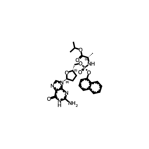 CC(C)OC(=O)[C@H](C)NP(=O)(OC[C@@H]1CC[C@H](n2cnc3c(=O)[nH]c(N)nc32)O1)Oc1cccc2ccccc12